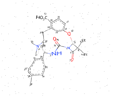 CCC[C@H](NC(=O)N1C(=O)C(CC)(CC)[C@H]1Oc1ccc(C(=O)O)c(CCN(C)C)c1)c1ccc(C)cc1